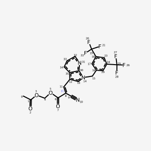 CC(=O)OCOC(=O)/C(C#N)=C/c1cn(Cc2cc(C(F)(F)F)cc(C(F)(F)F)c2)c2ncccc12